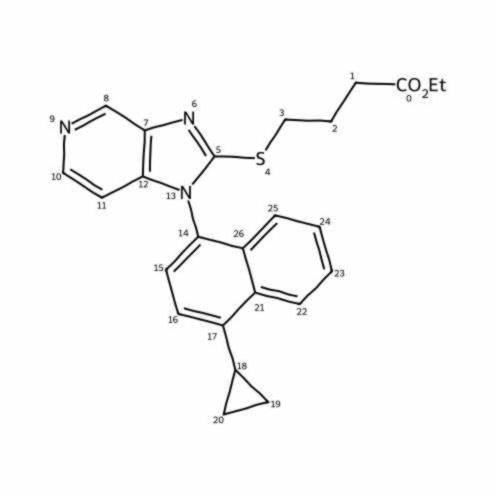 CCOC(=O)CCCSc1nc2cnccc2n1-c1ccc(C2CC2)c2ccccc12